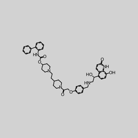 O=C(Nc1ccccc1-c1ccccc1)OC1CCN(CCC2CCN(C(=O)COc3ccc(CNC[C@@H](O)c4ccc(O)c5[nH]c(=O)ccc45)cc3)CC2)CC1